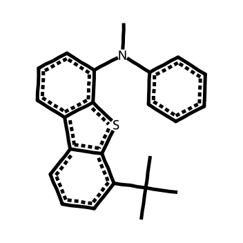 CN(c1ccccc1)c1cccc2c1sc1c(C(C)(C)C)cccc12